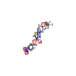 CC(C)(C)[Si](C)(C)OC1CCN(c2nc(C(=O)OCc3ccc([N+](=O)[O-])cc3)cs2)CC1